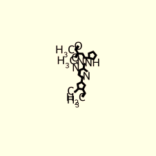 C=CC1CC(C2=NCC3C(=C2)N=C(C)N=C3NC2(CCC(=O)C(C)=O)CCCC2)CC1CC